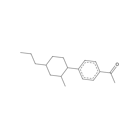 CCCC1CCC(c2ccc(C(C)=O)cc2)C(C)C1